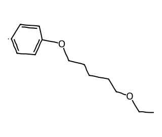 CCOCCCCCOc1cc[c]cc1